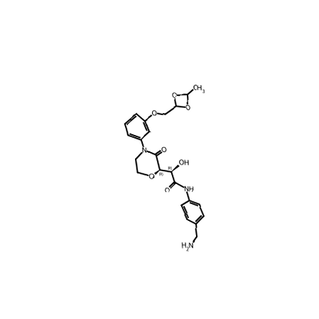 CC1OC(COc2cccc(N3CCO[C@H]([C@@H](O)C(=O)Nc4ccc(CN)cc4)C3=O)c2)O1